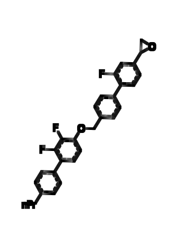 CCCc1ccc(-c2ccc(OCc3ccc(-c4ccc(C5CO5)cc4F)cc3)c(F)c2F)cc1